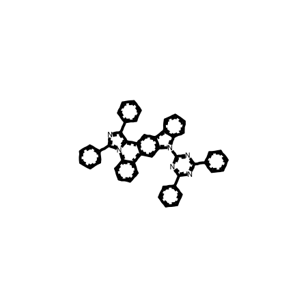 c1ccc(-c2nc(-c3ccccc3)nc(-n3c4ccccc4c4cc5c(cc43)c3ccccc3n3c(-c4ccccc4)nc(-c4ccccc4)c53)n2)cc1